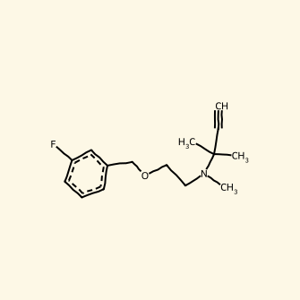 C#CC(C)(C)N(C)CCOCc1cccc(F)c1